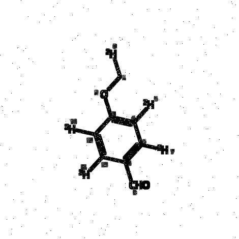 [2H]COc1c([2H])c([2H])c(C=O)c([2H])c1[2H]